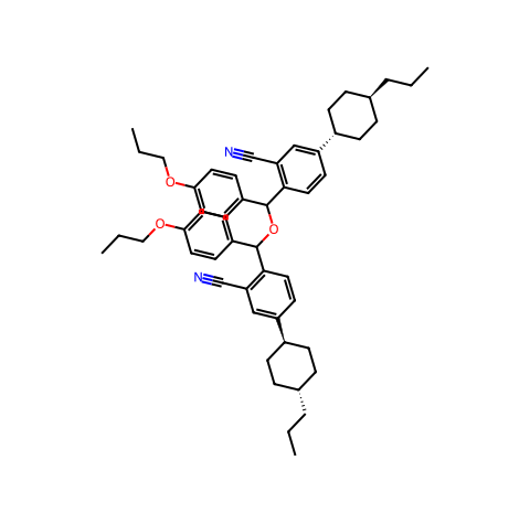 CCCOc1ccc(C(OC(c2ccc(OCCC)cc2)c2ccc([C@H]3CC[C@H](CCC)CC3)cc2C#N)c2ccc([C@H]3CC[C@H](CCC)CC3)cc2C#N)cc1